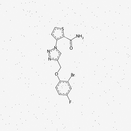 NC(=O)c1sccc1-n1cc(COc2ccc(F)cc2Br)nn1